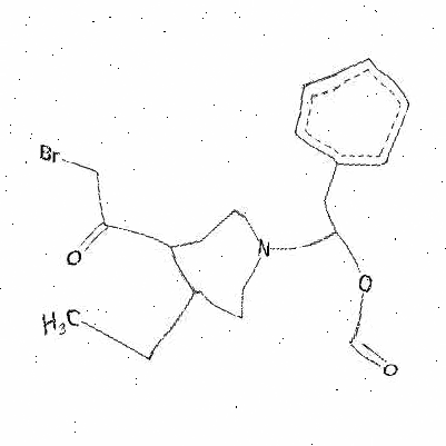 CCC1CN(C(OC=O)c2ccccc2)CC1C(=O)CBr